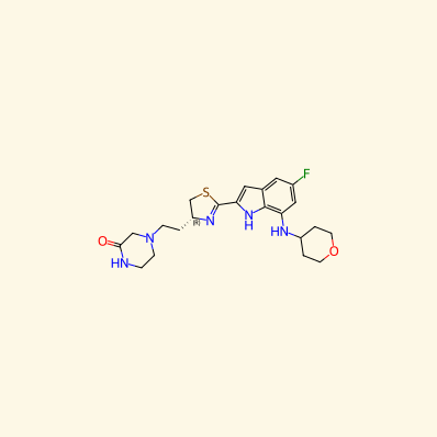 O=C1CN(CC[C@@H]2CSC(c3cc4cc(F)cc(NC5CCOCC5)c4[nH]3)=N2)CCN1